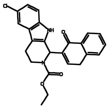 CCOC(=O)N1CCc2c([nH]c3ccc(Cl)cc23)C1C1=CCc2ccccc2C1=O